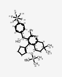 CC(C)c1nc2c(c(C3=CCCC3)c1[C@H](O)c1ccc(S(F)(F)(F)(F)F)cc1)[C@@H](O[Si](C)(C)C(C)(C)C)CC(C)(C)C2